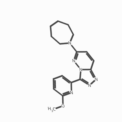 COc1cccc(-c2nnc3ccc(N4CCCCCC4)nn23)n1